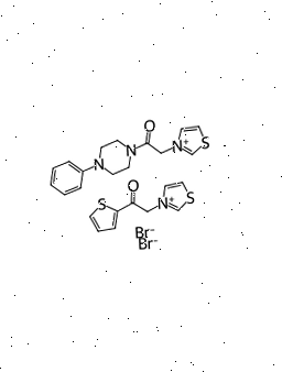 O=C(C[n+]1ccsc1)N1CCN(c2ccccc2)CC1.O=C(C[n+]1ccsc1)c1cccs1.[Br-].[Br-]